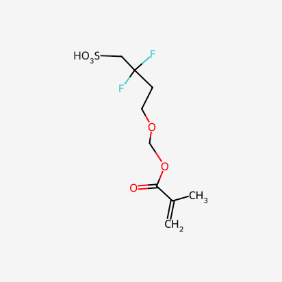 C=C(C)C(=O)OCOCCC(F)(F)CS(=O)(=O)O